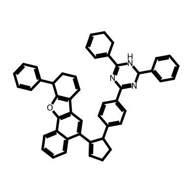 C1=CCCC(C2=NC(c3ccc(C4CCC=C4c4cc5c6c(oc5c5ccccc45)C(c4ccccc4)CC=C6)cc3)=NC(c3ccccc3)N2)=C1